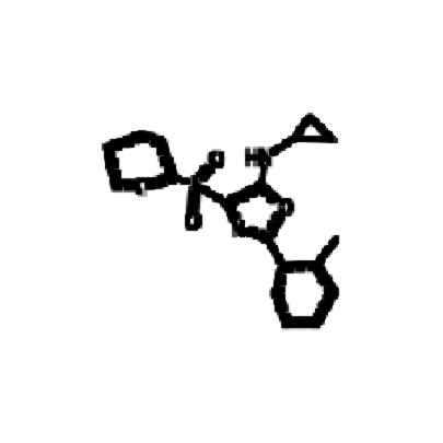 Cc1ccccc1-c1nc(S(=O)(=O)c2ccccc2)c(NC2CC2)o1